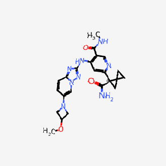 CNC(=O)c1cnc([C@@]2(C(N)=O)CC23CC3)cc1Nc1nc2ccc(N3CC(OC)C3)cn2n1